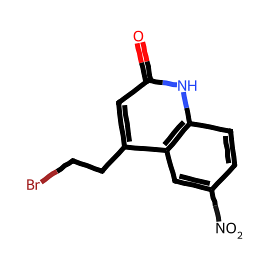 O=c1cc(CCBr)c2cc([N+](=O)[O-])ccc2[nH]1